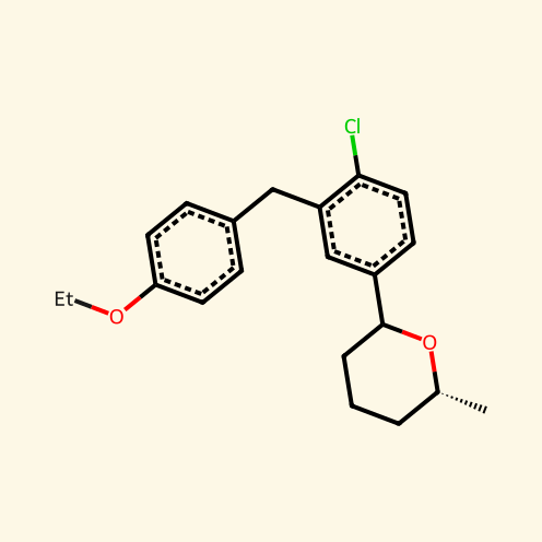 CCOc1ccc(Cc2cc(C3CCC[C@@H](C)O3)ccc2Cl)cc1